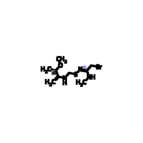 C=C(NCS/N=C(/CBr)NC)[C@H](C)OC